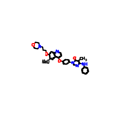 COc1cc2c(Oc3ccc(-n4cnc(Nc5ccccc5)c(C)c4=O)cc3)ccnc2cc1OCCCN1CCOCC1